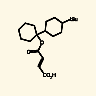 CC(C)(C)C1CCC(C2(OC(=O)/C=C/C(=O)O)CCCCC2)CC1